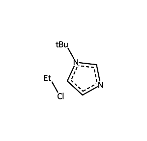 CC(C)(C)n1ccnc1.CCCl